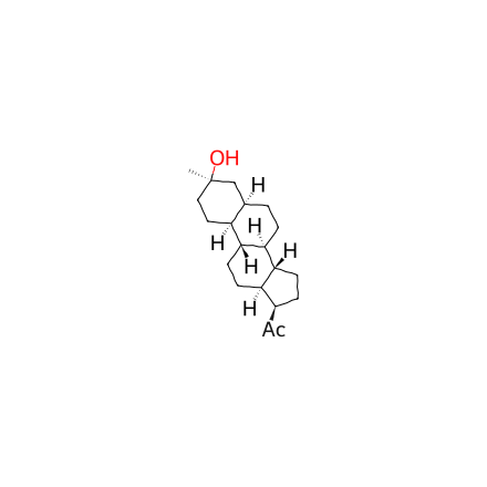 CC(=O)[C@@H]1CC[C@H]2[C@@H]3CC[C@@H]4C[C@](C)(O)CC[C@@H]4[C@H]3CC[C@@H]21